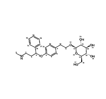 CNCCC(Oc1ccc(CCO[C@@H]2O[C@H](CO)[C@@H](O)[C@H](O)[C@H]2O)cc1)c1ccccc1